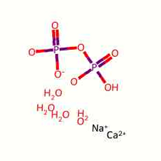 O.O.O.O.O=P([O-])([O-])OP(=O)([O-])O.[Ca+2].[Na+]